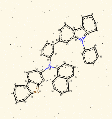 c1ccc(-n2c3ccccc3c3ccc(-c4cccc(N(c5ccc6c(c5)sc5ccccc56)c5cccc6ccccc56)c4)cc32)cc1